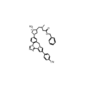 CN(CC(=O)OCc1ccccc1)CC1CN(c2ccc3c(c2)Cn2cc(-c4ccc(C#N)cc4)cc2-c2nncn2-3)C[C@@H]1O